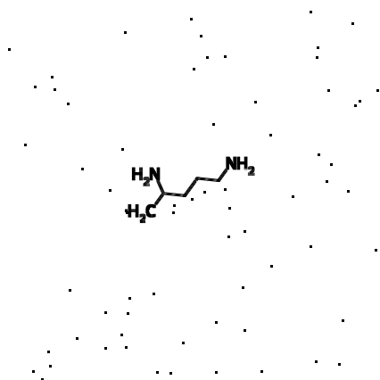 [CH2]C(N)CCCN